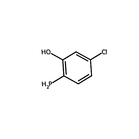 Oc1cc(Cl)ccc1P